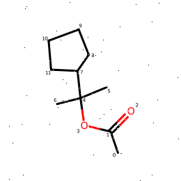 [CH2]C(=O)OC(C)(C)C1CCCC1